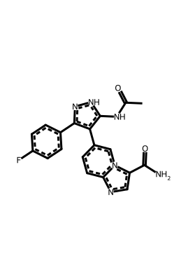 CC(=O)Nc1[nH]nc(-c2ccc(F)cc2)c1-c1ccc2ncc(C(N)=O)n2c1